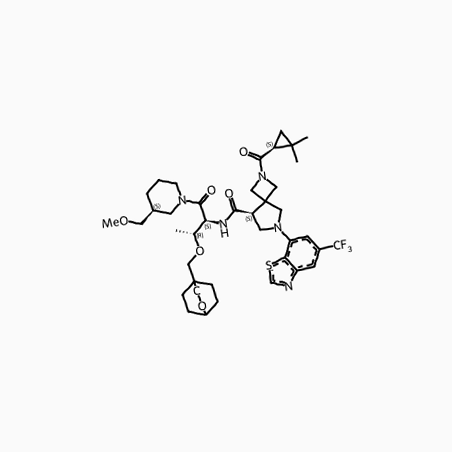 COC[C@H]1CCCN(C(=O)[C@@H](NC(=O)[C@@H]2CN(c3cc(C(F)(F)F)cc4ncsc34)CC23CN(C(=O)[C@H]2CC2(C)C)C3)[C@@H](C)OCC23CCC(CC2)OC3)C1